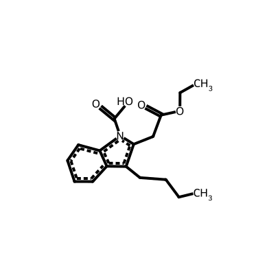 CCCCc1c(CC(=O)OCC)n(C(=O)O)c2ccccc12